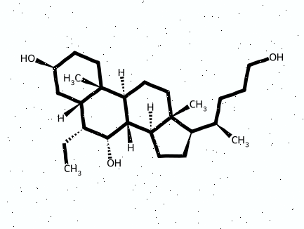 CC[C@H]1[C@@H](O)[C@@H]2[C@H](CC[C@]3(C)[C@@H]([C@H](C)CCCO)CC[C@@H]23)[C@@]2(C)CC[C@H](O)C[C@@H]12